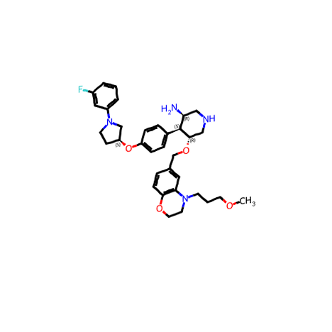 COCCCN1CCOc2ccc(CO[C@H]3CNC[C@H](N)[C@@H]3c3ccc(O[C@H]4CCN(c5cccc(F)c5)C4)cc3)cc21